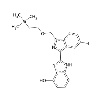 C[Si](C)(C)CCOCn1nc(-c2nc3c(O)cccc3[nH]2)c2cc(I)ccc21